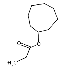 [CH2]CC(=O)OC1CCCCCCC1